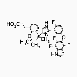 CC1(C)C[C@](C)(c2c[nH]c(-c3cc(Oc4c(F)c(F)c5[nH]ccc5c4F)ccc3F)n2)c2cccc(CCC(=O)O)c2O1